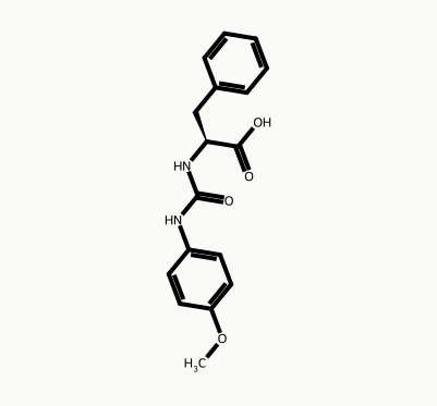 COc1ccc(NC(=O)N[C@@H](Cc2ccccc2)C(=O)O)cc1